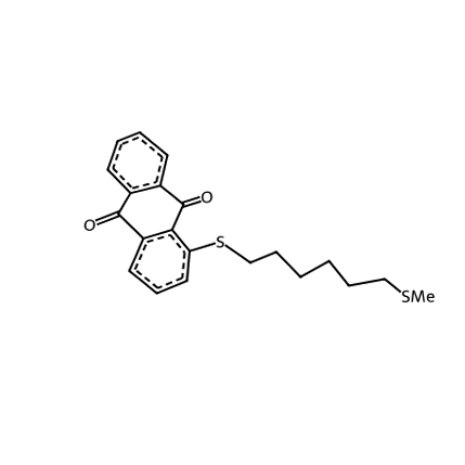 CSCCCCCCSc1cccc2c1C(=O)c1ccccc1C2=O